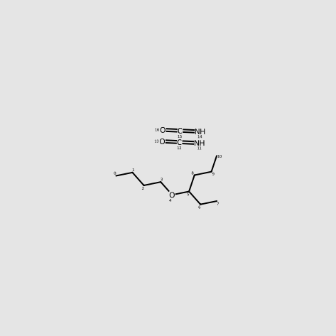 CCCCOC(CC)CCC.N=C=O.N=C=O